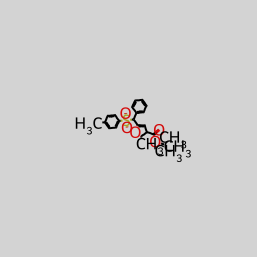 Cc1ccc(S(=O)(=O)C(C2=CC(C(=O)OC(C)(C)C)C(C)O2)c2ccccc2)cc1